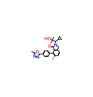 Cc1nnc(-c2ccc(-c3c(F)ccc4c3C(=O)N(C(C3CC3)C(C)(C)O)C4)cc2)o1